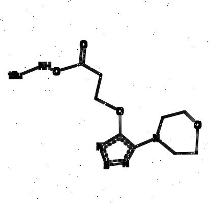 CC(C)(C)NOC(=O)CCOc1nsnc1N1CCOCC1